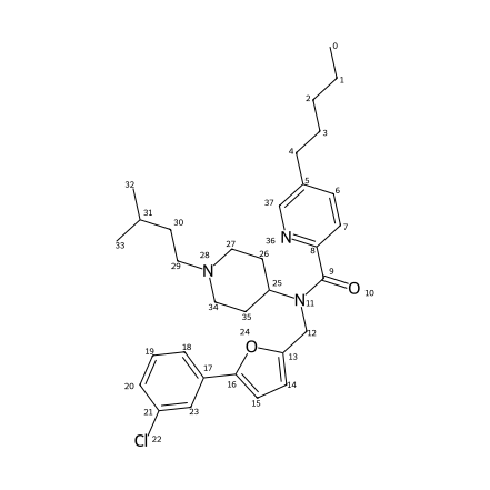 CCCCCc1ccc(C(=O)N(Cc2ccc(-c3cccc(Cl)c3)o2)C2CCN(CCC(C)C)CC2)nc1